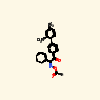 CCC(=O)O/N=C(\C(=O)c1ccc(-c2ccc([N+](=O)[O-])cc2[N+](=O)[O-])cc1)C1CCCCC1